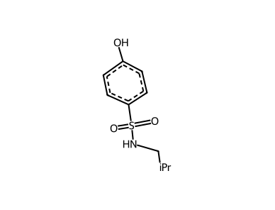 CC(C)CNS(=O)(=O)c1ccc(O)cc1